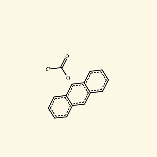 O=C(Cl)Cl.c1ccc2cc3ccccc3cc2c1